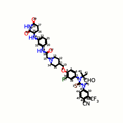 CN(C(=S)N(c1ccc(OCC2CCN(CC(=O)Nc3cccc(NC4CCC(=O)NC4=O)c3)CC2)c(F)c1)C(C)(C)C=O)c1ccc(C#N)c(C(F)(F)F)c1